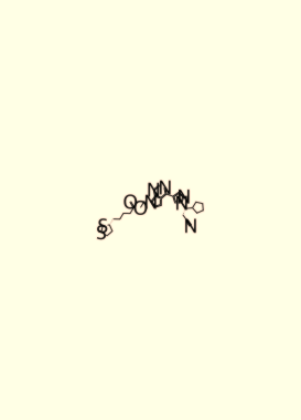 N#CC[C@@H](C1CCCC1)n1cc(-c2ncnc3c2ccn3COC(=O)CCCC[C@@H]2CCSS2)cn1